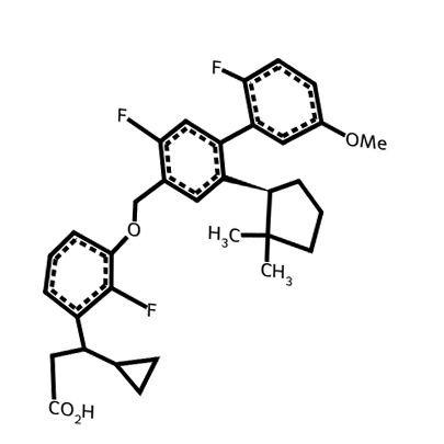 COc1ccc(F)c(-c2cc(F)c(COc3cccc(C(CC(=O)O)C4CC4)c3F)cc2[C@H]2CCCC2(C)C)c1